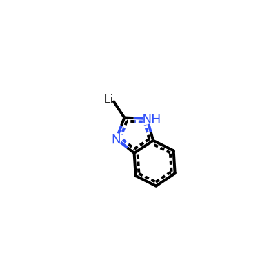 [Li][c]1nc2ccccc2[nH]1